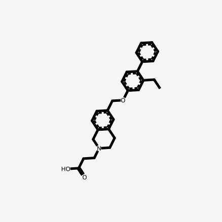 CCc1cc(OCc2ccc3c(c2)CCN(CCC(=O)O)C3)ccc1-c1ccccc1